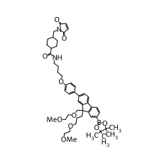 COCCOCCCC1(COCCOC)c2cc(B3OC(C)(C)C(C)(C)O3)ccc2-c2ccc(-c3ccc(OCCCCNC(=O)C4CCC(CN5C(=O)C=CC5=O)CC4)cc3)cc21